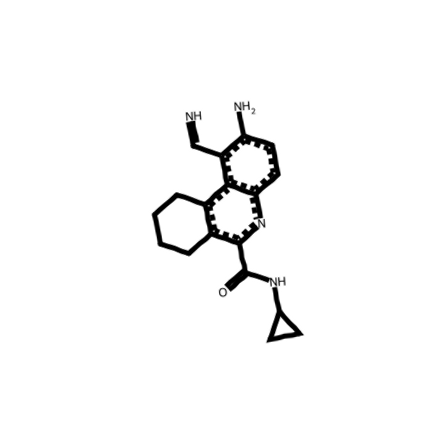 N=Cc1c(N)ccc2nc(C(=O)NC3CC3)c3c(c12)CCCC3